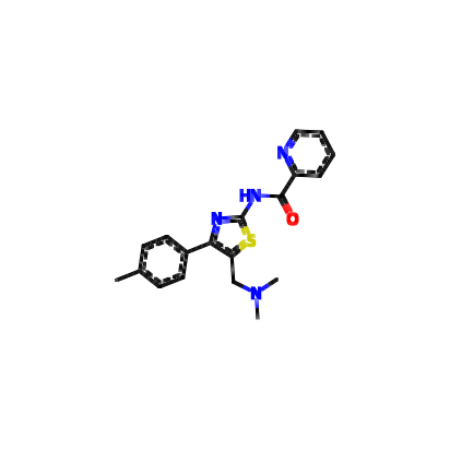 Cc1ccc(-c2nc(NC(=O)c3ccccn3)sc2CN(C)C)cc1